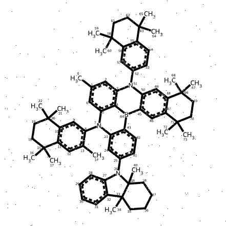 Cc1cc2c3c(c1)N(c1cc4c(cc1C)C(C)(C)CCC4(C)C)c1cc(N4c5ccccc5C5(C)CCCCC45C)ccc1B3c1cc3c(cc1N2c1ccc2c(c1)C(C)(C)CCC2(C)C)C(C)(C)CCC3(C)C